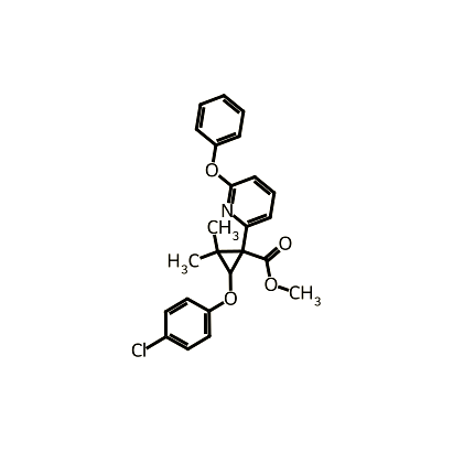 COC(=O)C1(c2cccc(Oc3ccccc3)n2)C(Oc2ccc(Cl)cc2)C1(C)C